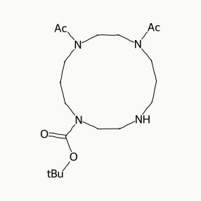 CC(=O)N1CCCNCCN(C(=O)OC(C)(C)C)CCCN(C(C)=O)CC1